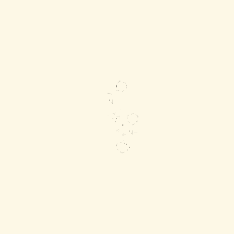 O=C(NC1CCCC[C@@H]1C(=O)N1CC[C@@H]2[C@H](c3ccccn3)Nc3ccccc3[C@@H]21)c1ccccc1